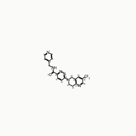 O=C(NCc1ccncc1)c1ccc(N2CCc3ncc(C(F)(F)F)cc3C2)nn1